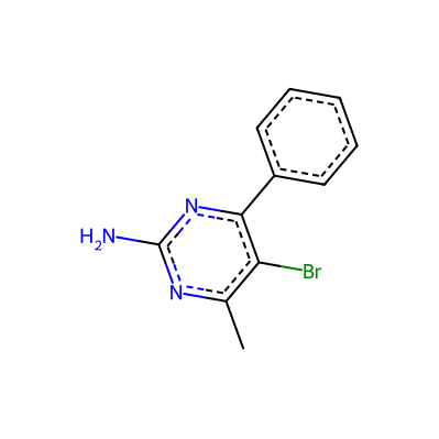 Cc1nc(N)nc(-c2ccccc2)c1Br